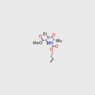 C=CCCOC(=O)N[C@H](C(=O)N(CC)[C@@H](CC)C(=O)OC)C(C)(C)C